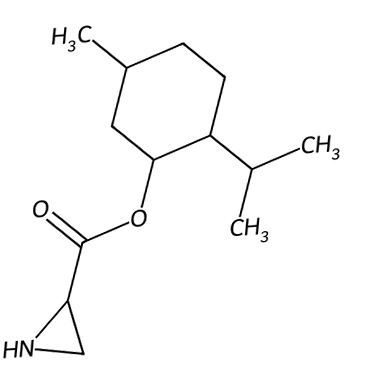 CC1CCC(C(C)C)C(OC(=O)C2CN2)C1